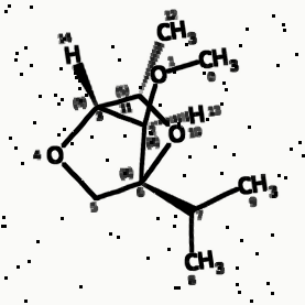 CO[C@@H]1[C@@H]2OC[C@@]1(C(C)C)O[C@H]2C